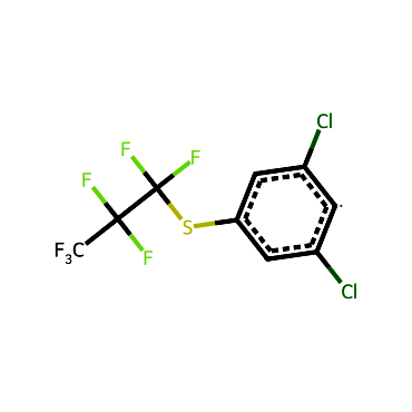 FC(F)(F)C(F)(F)C(F)(F)Sc1cc(Cl)[c]c(Cl)c1